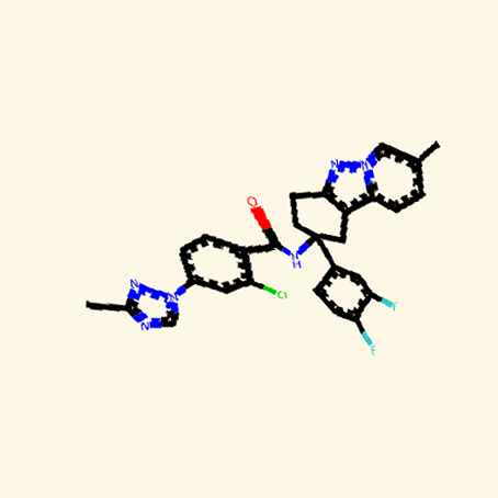 Cc1ccc2c3c(nn2c1)CCC(NC(=O)c1ccc(-n2cnc(C)n2)cc1Cl)(c1ccc(F)c(F)c1)C3